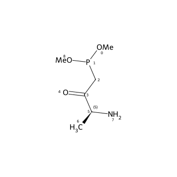 COP(CC(=O)[C@H](C)N)OC